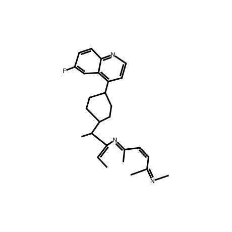 C\C=C(/N=C(C)/C=C\C(C)=N/C)C(C)C1CCC(c2ccnc3ccc(F)cc23)CC1